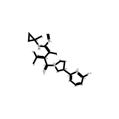 C=N/C(NC1(C)CC1)=C(\C)C(C(=O)N1CCC(c2cccc(F)n2)C1)=C(C)C